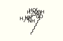 CCCCCCCCCCCC(=O)OC(=O)[C@@](N)(CCCNC(=N)N)C(O)C(C)O